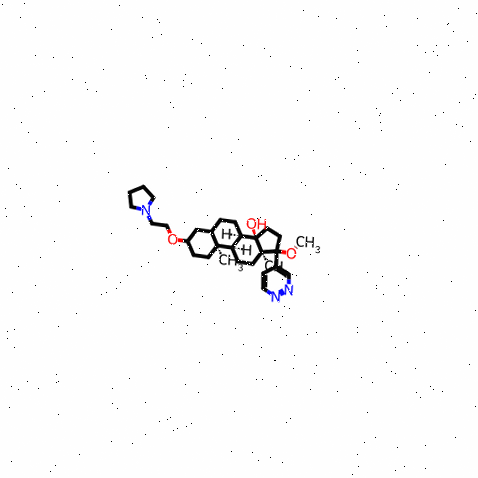 COC1(c2ccnnc2)CC[C@@]2(O)[C@@H]3CCC4CC(OCCN5CCCC5)CC[C@]4(C)[C@@H]3CC[C@]12C